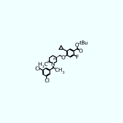 C[C@@H]1CC[C@@H](COc2cc(F)c(C(=O)OC(C)(C)C)cc2C2CC2)CN1[C@@H](C)c1cc(Cl)cc(Cl)c1